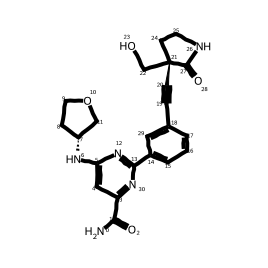 NC(=O)c1cc(N[C@@H]2CCOC2)nc(-c2cccc(C#C[C@@]3(CO)CCNC3=O)c2)n1